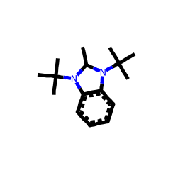 CC1N(C(C)(C)C)c2ccccc2N1C(C)(C)C